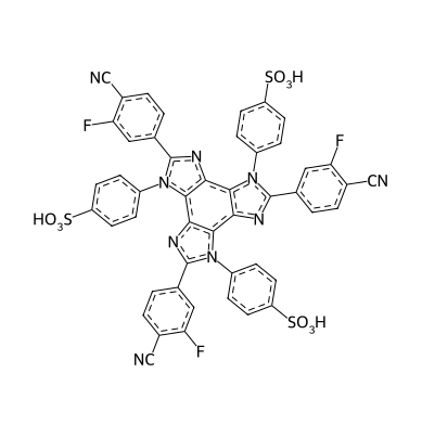 N#Cc1ccc(-c2nc3c(c4nc(-c5ccc(C#N)c(F)c5)n(-c5ccc(S(=O)(=O)O)cc5)c4c4nc(-c5ccc(C#N)c(F)c5)n(-c5ccc(S(=O)(=O)O)cc5)c34)n2-c2ccc(S(=O)(=O)O)cc2)cc1F